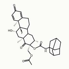 CC(=O)OC[C@]1(OC(=O)NC23CC4CC(CC(C4)C2)C3)C(=O)[C@@]2(C)C[C@H](O)[C@@]3(F)C(CCC4=CC(=O)C=C[C@@]43C)C2C[C@@H]1C